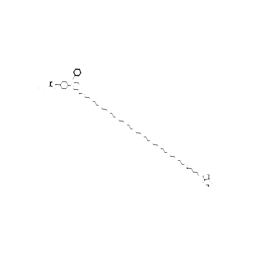 Cc1nc(C2CCC(N3C[C@H](C(=O)NCCOCCOCCOCCOCCOCCOCCOCCOCCOCCOCCOCCNC(=O)CCCC[C@@H]4SC[C@@H]5NC(=O)N[C@@H]54)OC[C@@H]3Cc3ccc(Cl)cc3)CC2)sc1C